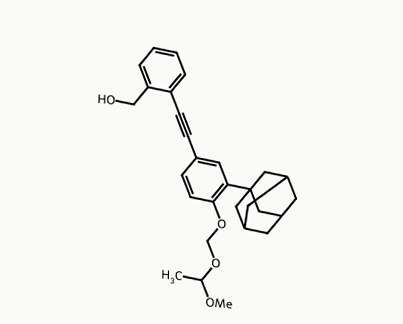 COC(C)OCOc1ccc(C#Cc2ccccc2CO)cc1C12CC3CC(CC(C3)C1)C2